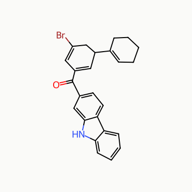 O=C(C1=CC(C2=CCCCC2)CC(Br)=C1)c1ccc2c(c1)[nH]c1ccccc12